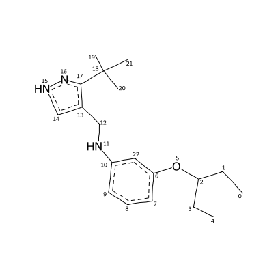 CCC(CC)Oc1cccc(NCc2c[nH]nc2C(C)(C)C)c1